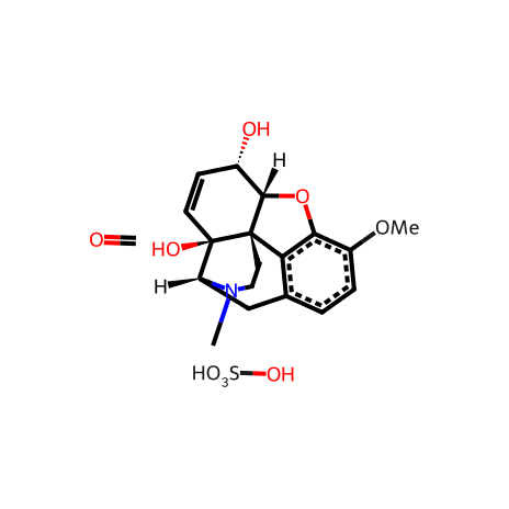 C=O.COc1ccc2c3c1O[C@H]1[C@@H](O)C=C[C@@]4(O)[C@@H](C2)N(C)CC[C@]314.O=S(=O)(O)O